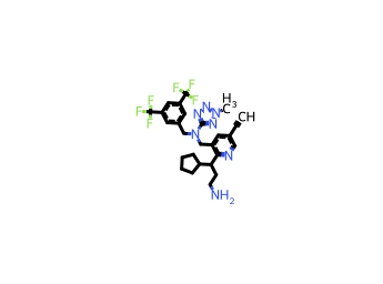 C#Cc1cnc(C(CCN)C2CCCC2)c(CN(Cc2cc(C(F)(F)F)cc(C(F)(F)F)c2)c2nnn(C)n2)c1